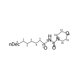 CCCCCCCCCCCCCCCC(=O)NC(=O)N1CCOCC1